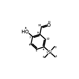 C[Si](C)(C)c1ccc(O)c(C=O)c1